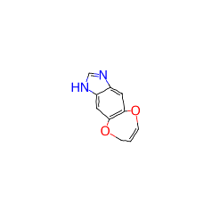 C1=COc2cc3nc[nH]c3cc2OC1